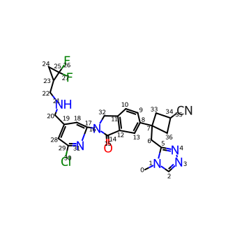 Cn1cnnc1CC1(c2ccc3c(c2)C(=O)N(c2cc(CNCC4CC4(F)F)cc(Cl)n2)C3)CC(C#N)C1